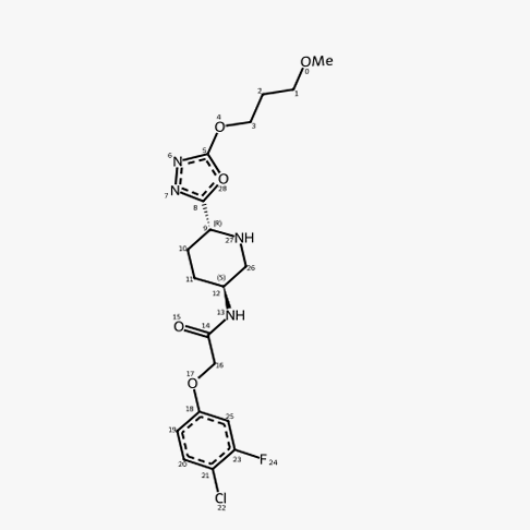 COCCCOc1nnc([C@H]2CC[C@H](NC(=O)COc3ccc(Cl)c(F)c3)CN2)o1